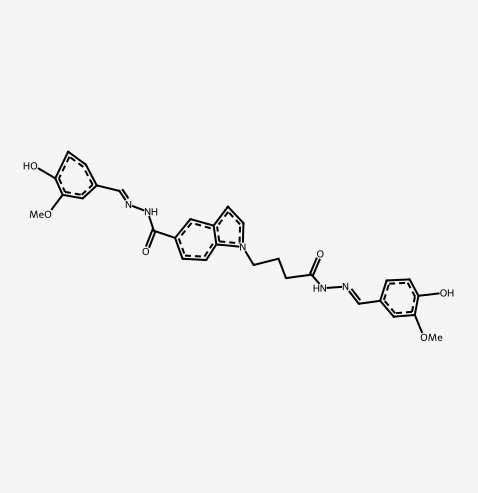 COc1cc(/C=N/NC(=O)CCCn2ccc3cc(C(=O)N/N=C/c4ccc(O)c(OC)c4)ccc32)ccc1O